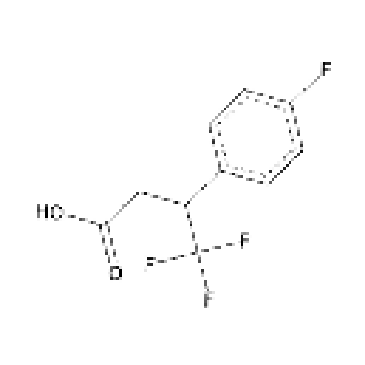 O=C(O)CC(c1ccc(F)cc1)C(F)(F)F